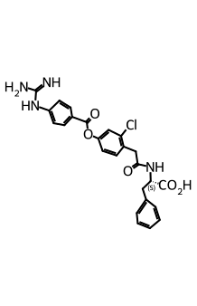 N=C(N)Nc1ccc(C(=O)Oc2ccc(CC(=O)N[C@@H](Cc3ccccc3)C(=O)O)c(Cl)c2)cc1